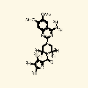 [2H]c1oc(C(=O)N2C([2H])([2H])CN(c3nc(N([2H])[2H])c4cc(OC)c(OC)cc4n3)CC2([2H])[2H])c([2H])c1[2H]